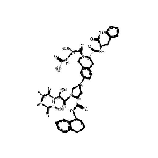 CC[C@@H](C)C(=O)N[C@H](C(=O)N1Cc2cc([C@H]3C[C@@H](C(=O)NC4CCCc5ccccc54)N(C(=O)[C@@H](NC(=O)[C@H](C)N(C)C(=O)OC(C)(C)C)C(C)(C)C)C3)ccc2C[C@H]1C(=O)NC(Cc1ccccc1)C(=O)OC)C(C)(C)C